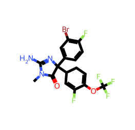 CN1C(=O)C(c2ccc(F)c(Br)c2)(C2C=C(F)C(OC(F)(F)F)=CC2)N=C1N